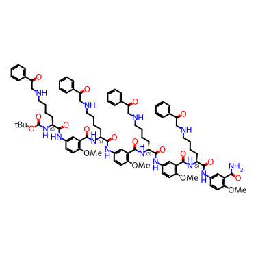 COc1ccc(NC(=O)[C@H](CCCCNCC(=O)c2ccccc2)NC(=O)c2cc(NC(=O)[C@H](CCCCNCC(=O)c3ccccc3)NC(=O)c3cc(NC(=O)[C@H](CCCCNCC(=O)c4ccccc4)NC(=O)c4cc(NC(=O)[C@H](CCCCNCC(=O)c5ccccc5)NC(=O)OC(C)(C)C)ccc4OC)ccc3OC)ccc2OC)cc1C(N)=O